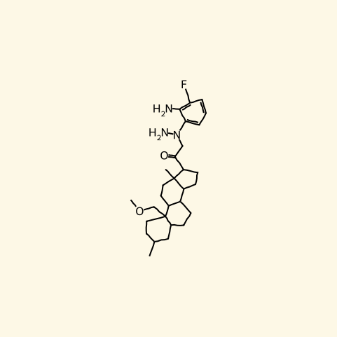 COCC12CCC(C)CC1CCC1C3CCC(C(=O)CN(N)c4cccc(F)c4N)C3(C)CCC12